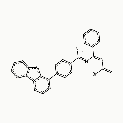 C=C(Br)/N=C(\N=C(/N)c1ccc(-c2cccc3c2oc2ccccc23)cc1)c1ccccc1